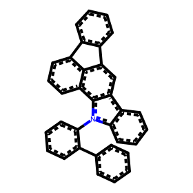 c1ccc(-c2ccccc2-n2c3ccccc3c3cc4c5c(cccc5c32)-c2ccccc2-4)cc1